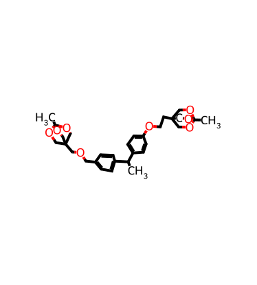 CC(c1ccc(COCC23COC(C)(OC2)OC3)cc1)c1ccc(OCCC23COC(C)(OC2)OC3)cc1